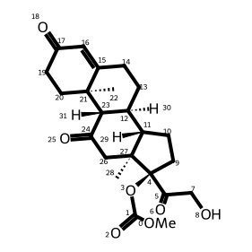 COC(=O)O[C@]1(C(=O)CO)CC[C@H]2[C@@H]3CCC4=CC(=O)CC[C@]4(C)[C@H]3C(=O)C[C@@]21C